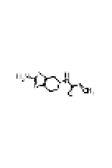 C=CC(=O)NC1CCc2nc(N)sc2C1